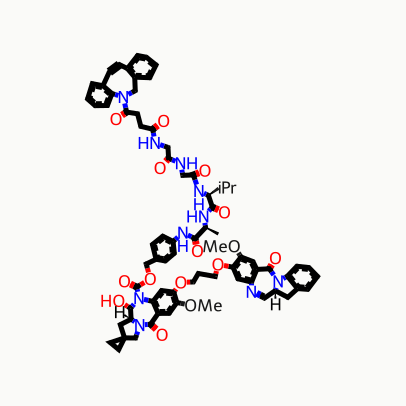 COc1cc2c(cc1OCCCOc1cc3c(cc1OC)C(=O)N1CC4(CC4)C[C@H]1C(O)N3C(=O)OCc1ccc(NC(=O)[C@H](C)NC(=O)[C@@H](NC(=O)CNC(=O)CNC(=O)CCC(=O)N3Cc4ccccc4C#Cc4ccccc43)C(C)C)cc1)N=C[C@@H]1Cc3ccccc3N1C2=O